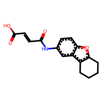 O=C(O)/C=C/C(=O)Nc1ccc2oc3c(c2c1)CCCC3